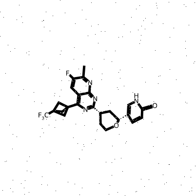 Cc1nc2nc([C@H]3CCO[C@@H](c4ccc(=O)[nH]c4)C3)nc(C34CC(C(F)(F)F)(C3)C4)c2cc1F